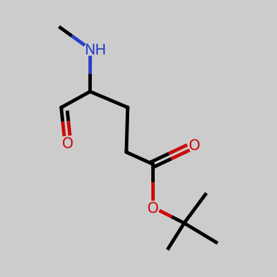 CNC(C=O)CCC(=O)OC(C)(C)C